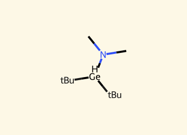 C[N](C)[GeH]([C](C)(C)C)[C](C)(C)C